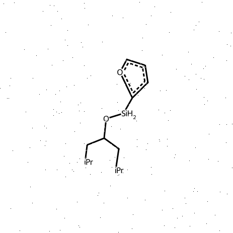 CC(C)CC(CC(C)C)O[SiH2]c1ccco1